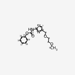 COCCOCc1csc(NC(=O)Oc2ccccc2)n1